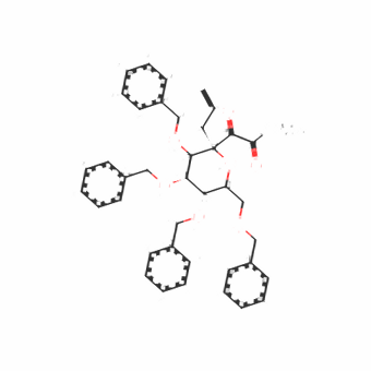 C=CC[C@@]1(C(=O)C(=O)OC)OC(COCc2ccccc2)[C@H](OCc2ccccc2)[C@@H](OCc2ccccc2)C1OCc1ccccc1